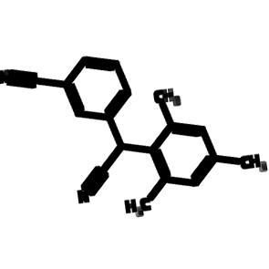 Cc1cc(C)c(C(C#N)c2cccc(C#N)c2)c(C)c1